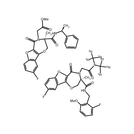 COC(=O)CN1C(=O)c2oc3ccc(F)cc3c2OC[C@]1(C)C(=O)N[C@@H](C)c1ccccc1.[2H]C([2H])([2H])N(C(=O)CN1C(=O)c2oc3ccc(F)cc3c2OC[C@]1(C)C(=O)NCc1c(F)cccc1OC)C([2H])([2H])[2H]